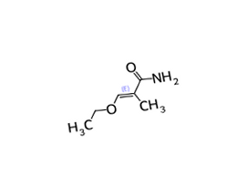 CCO/C=C(\C)C(N)=O